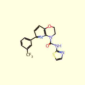 O=C(Nc1nccs1)N1CCOc2ccc(-c3cccc(C(F)(F)F)c3)nc21